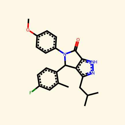 COc1ccc(N2C(=O)c3[nH]nc(CC(C)C)c3C2c2ccc(F)cc2C)cc1